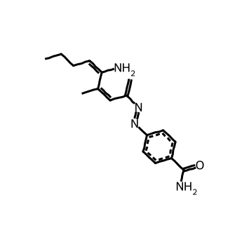 C=C(/C=C(C)\C(N)=C/CCC)N=Nc1ccc(C(N)=O)cc1